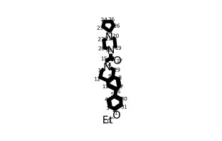 CCOc1ccc(-c2ccc3c(c2)CCN(CC(=O)N2CCN(C4CCCC4)CC2)C3)cc1